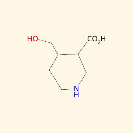 O=C(O)C1CNCCC1CO